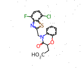 O=C(O)CC1Oc2ccccc2N(Cc2nc3c(F)ccc(Cl)c3s2)C1=O